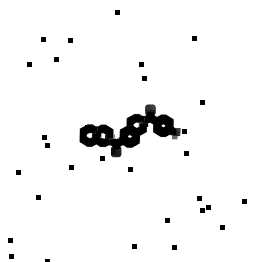 O=C(c1ccc(F)cc1)N1CCc2cc(C(=O)N3CCN4CCCCC4C3)ccc2C1